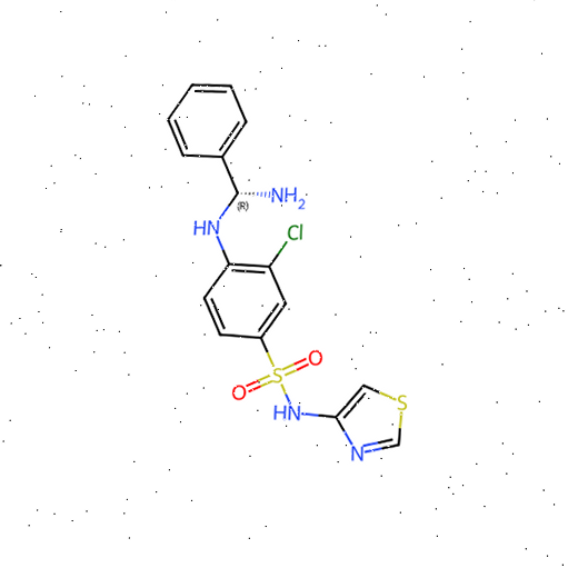 N[C@H](Nc1ccc(S(=O)(=O)Nc2cscn2)cc1Cl)c1ccccc1